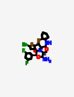 C[C@@H](C(N)=O)N(C(=O)Cc1cc(F)cc(F)c1)[C@@H]1C(=O)Nc2ccccc2S[C@@H]1c1ccc(Br)s1